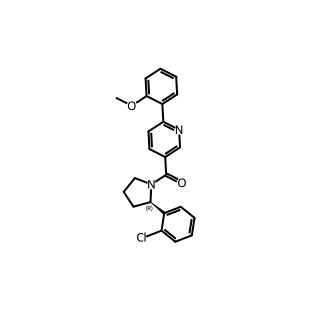 COc1ccccc1-c1ccc(C(=O)N2CCC[C@@H]2c2ccccc2Cl)cn1